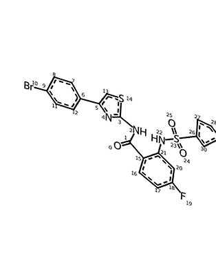 O=C(Nc1nc(-c2ccc(Br)cc2)cs1)c1ccc(F)cc1NS(=O)(=O)c1ccoc1